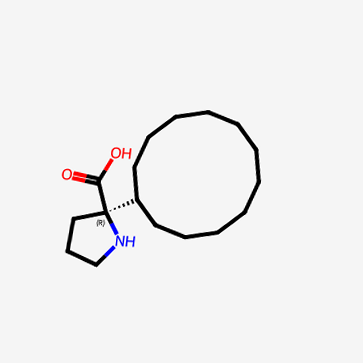 O=C(O)[C@]1(C2CCCCCCCCCCC2)CCCN1